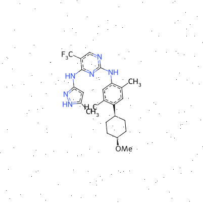 CO[C@H]1CC[C@@H](c2cc(C)c(Nc3ncc(C(F)(F)F)c(Nc4cc(C)[nH]n4)n3)cc2C)CC1